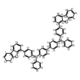 C1=Cc2c(oc3c(-c4ccc(N(c5ccccc5)c5ccc(-c6ccc(N(c7ccccc7)c7ccc(-c8cccc9c8oc8ccccc89)cc7)cc6)cc5)cc4)cccc23)CC1